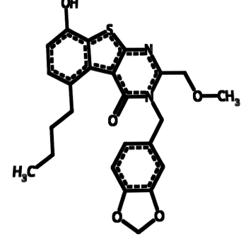 CCCCc1ccc(O)c2sc3nc(COC)n(Cc4ccc5c(c4)OCO5)c(=O)c3c12